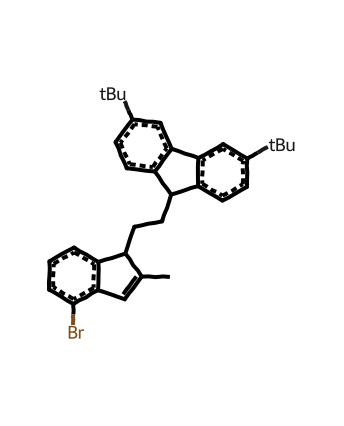 CC1=Cc2c(Br)cccc2C1CCC1c2ccc(C(C)(C)C)cc2-c2cc(C(C)(C)C)ccc21